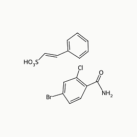 NC(=O)c1ccc(Br)cc1Cl.O=S(=O)(O)/C=C/c1ccccc1